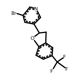 FC(F)(F)c1ccc2c(c1)CC(c1cncc(Br)c1)O2